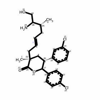 C[C@H](C/C=C/C[C@@]1(C)C[C@H](c2cccc(Cl)c2)C(c2ccc(Cl)cc2)OC1=O)C(N)CO